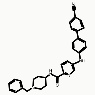 N#Cc1ccc(-c2ccc(Nc3ccc(C(=O)NC4CCN(Cc5ccccc5)CC4)nc3)cc2)cc1